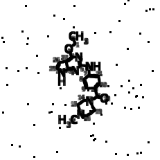 CCOc1nc(Nc2ccc(C(=O)N3CCN(C)CC3)cc2)nc2[nH]ccc12